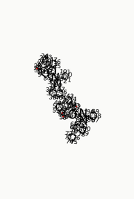 c1ccc(-c2nc(-c3cccc4c3Oc3ccccc3C43c4ccccc4-c4ccccc43)cc(-c3cccc4cc(-c5cccc6c5-c5ccccc5C65c6ccccc6Oc6c(-c7cc(-c8ccc(-c9ccccc9)c9ccccc89)nc(-c8ccccc8)n7)cccc65)ccc34)n2)cc1